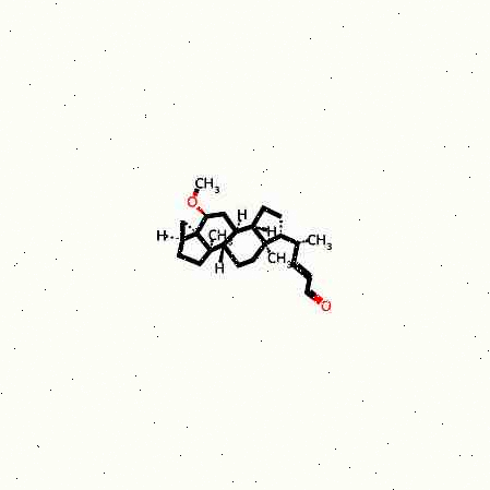 CO[C@H]1C[C@H]2[C@@H]3CC[C@H]([C@H](C)C=CC=O)[C@@]3(C)CC[C@@H]2[C@@]2(C)CC[C@H]3C[C@]312